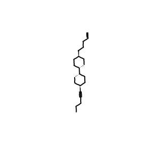 C=CCCC[C@H]1CC[C@H]([C@H]2CC[C@H](C#CCCC)CC2)CC1